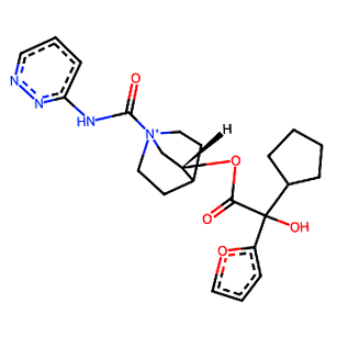 O=C(O[C@H]1C[N+]2(C(=O)Nc3cccnn3)CCC1CC2)C(O)(c1ccco1)C1CCCC1